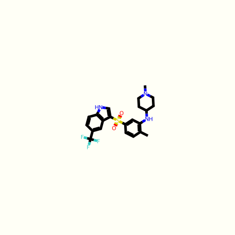 Cc1ccc(S(=O)(=O)c2c[nH]c3ccc(C(F)(F)F)cc23)cc1NC1CCN(C)CC1